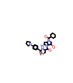 CC(C)CC(NC(=O)c1ccc(N2CCCC2)cc1)C(=O)N1CCC2C1C(=O)CN2C(=O)C1CCCCC1